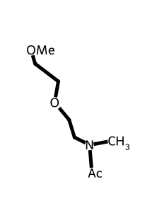 [CH2]C(=O)N(C)CCOCCOC